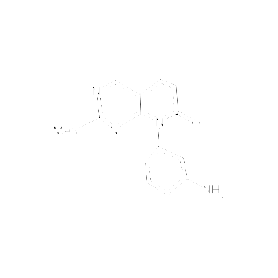 CSc1ncc2ccc(=O)n(-c3cccc(N)c3)c2n1